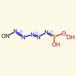 O=N/N=N/N=N/N=S(\O)OO